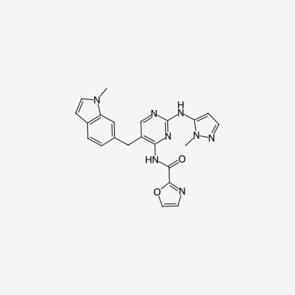 Cn1nccc1Nc1ncc(Cc2ccc3ccn(C)c3c2)c(NC(=O)c2ncco2)n1